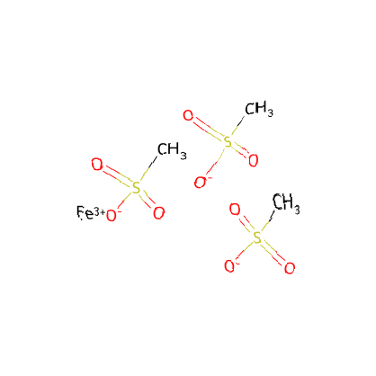 CS(=O)(=O)[O-].CS(=O)(=O)[O-].CS(=O)(=O)[O-].[Fe+3]